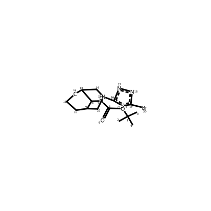 CC(C)(C)OC(=O)NC1C2CCCC1CN(c1nnc(Br)s1)C2